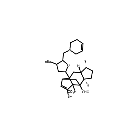 CCCCC1CC(C23C[C@@H]4[C@H](C)CC[C@H]4C4(C=O)CC2C=C(C(C)C)C34C(=O)O)OC1CN1CC=CCC1